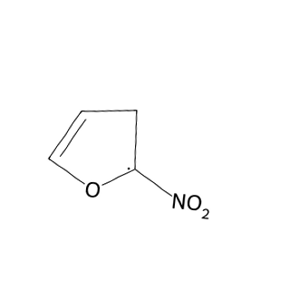 O=[N+]([O-])[C]1CC=CO1